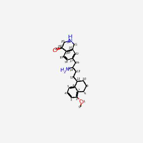 COc1cccc2c1CCCC2CCC(N)Cc1ccc2c(c1)CNCC2=O